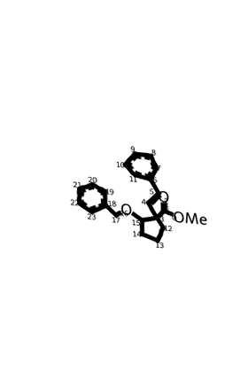 COC(=O)C1(C=Cc2ccccc2)CCCC1OCc1ccccc1